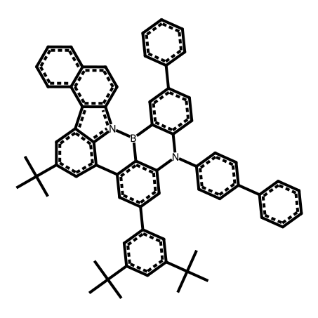 CC(C)(C)c1cc(-c2cc3c4c(c2)N(c2ccc(-c5ccccc5)cc2)c2ccc(-c5ccccc5)cc2B4n2c4ccc5ccccc5c4c4cc(C(C)(C)C)cc-3c42)cc(C(C)(C)C)c1